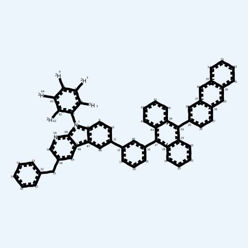 [2H]c1c([2H])c([2H])c(-n2c3ccc(-c4cccc(-c5c6ccccc6c(-c6ccc7cc8ccccc8cc7c6)c6ccccc56)c4)cc3c3cc(Cc4ccccc4)cnc32)c([2H])c1[2H]